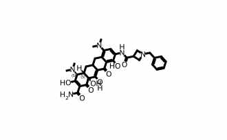 CN(C)c1cc(NC(=O)C2CN(Cc3ccccc3)C2)c(O)c2c1CC1C[C@H]3[C@H](N(C)C)C(O)=C(C(N)=O)C(=O)[C@@]3(O)C(O)=C1C2=O